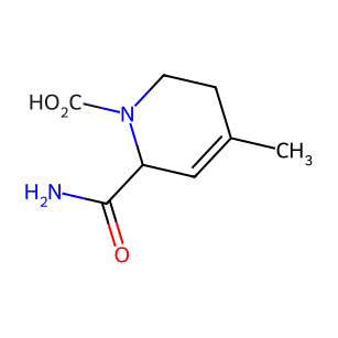 CC1=CC(C(N)=O)N(C(=O)O)CC1